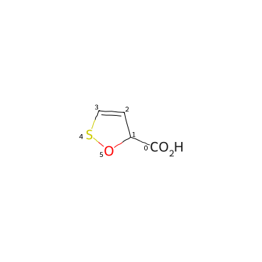 O=C(O)C1C=CSO1